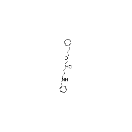 Cl.c1ccc(CCCOCCCCCCNCc2ccccc2)cc1